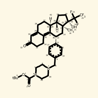 CC(C)(C)OC(=O)N1CCN(Cc2ccc([C@H]3C[C@@]4(C)[C@@H](CC[C@@]4(O)C(F)(F)C(F)(F)F)[C@@H]4CCC5=CC(=O)CCC5=C43)cc2)CC1